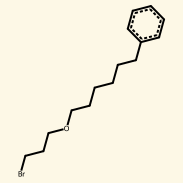 BrCCCOCCCCCCc1ccccc1